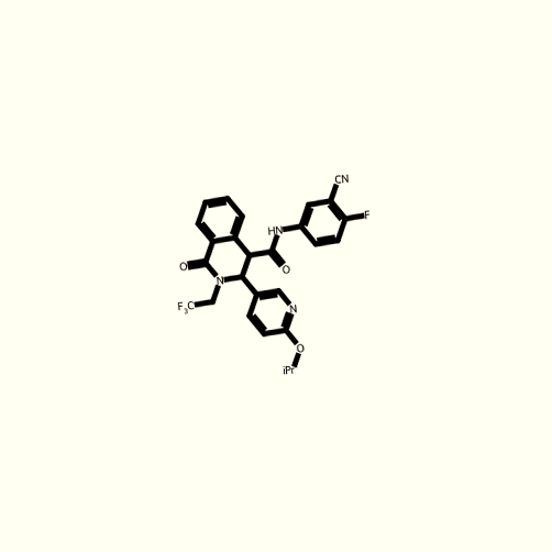 CC(C)Oc1ccc(C2C(C(=O)Nc3ccc(F)c(C#N)c3)c3ccccc3C(=O)N2CC(F)(F)F)cn1